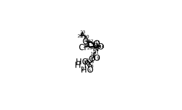 NC(CO)(CO)COC(=O)CCn1c(=O)oc2cc(OCC3CC3)c(Cl)cc21